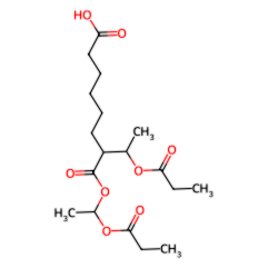 CCC(=O)OC(C)OC(=O)C(CCCCCC(=O)O)C(C)OC(=O)CC